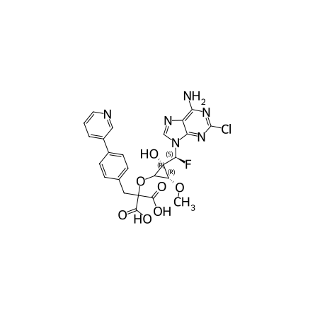 CO[C@@H]1C(OC(Cc2ccc(-c3cccnc3)cc2)(C(=O)O)C(=O)O)[C@@]1(O)[C@H](F)n1cnc2c(N)nc(Cl)nc21